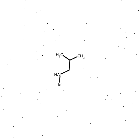 CC(C)[CH2][AlH][Br]